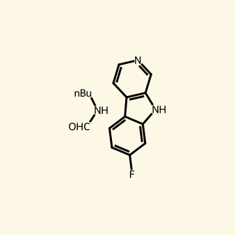 CCCCNC=O.Fc1ccc2c(c1)[nH]c1cnccc12